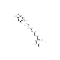 C=C/C=C\C(N)=C/CCCCCCCCc1ccc2c(c1)CC2